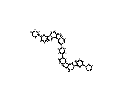 c1ccc(-c2ccc3oc4c(ccc5oc6ccc(-c7ccc(-c8ccc9oc%10ccc%11c%12cc(-c%13ccccc%13)ccc%12oc%11c%10c9c8)cc7)cc6c54)c3c2)cc1